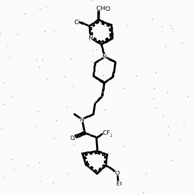 CCOc1cccc(C(C(=O)N(C)CCCC2CCN(c3ccc(C=O)c(Cl)n3)CC2)C(F)(F)F)c1